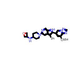 COc1cc(-c2[nH]c3cnc(N4CCC(NC5COC5)CC4)cc3c2C(C)C)cn2ncnc12